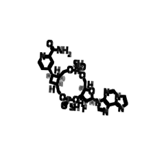 NC(=O)c1cc([C@@H]2C[C@@H]3CO[P@](=O)(S)O[C@H]4[C@@H](F)[C@H](n5cnc6c5ncn5ccnc65)O[C@@H]4CO[P@](=O)(S)OC[C@H]32)ccn1